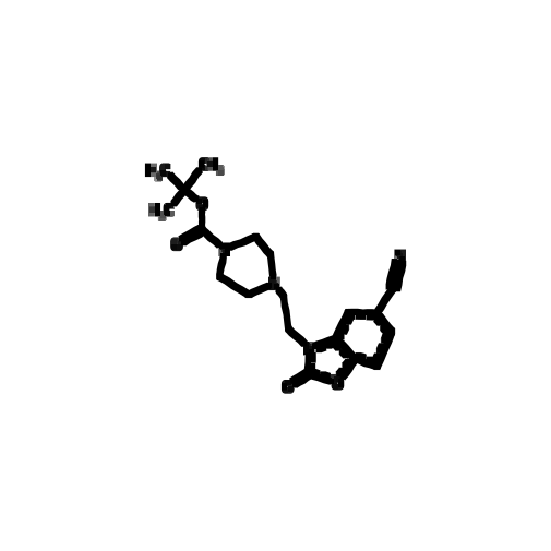 CC(C)(C)OC(=O)N1CCN(CCn2c(=O)oc3ccc(C#N)cc32)CC1